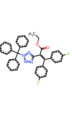 CCOC(=O)C(=C(c1ccc(F)cc1)c1ccc(F)cc1)c1nnn(C(c2ccccc2)(c2ccccc2)c2ccccc2)n1